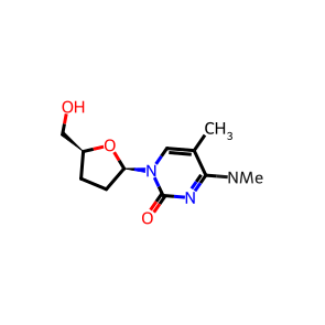 CNc1nc(=O)n([C@H]2CC[C@@H](CO)O2)cc1C